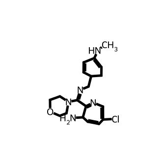 CNC1=CCC(C/N=C(\C2=NC=C(Cl)C=CC2N)N2CCOCC2)C=C1